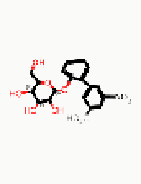 O=C(O)c1cc(-c2ccccc2O[C@@H]2OC(CO)[C@H](O)[C@H](O)C2O)cc([N+](=O)[O-])c1